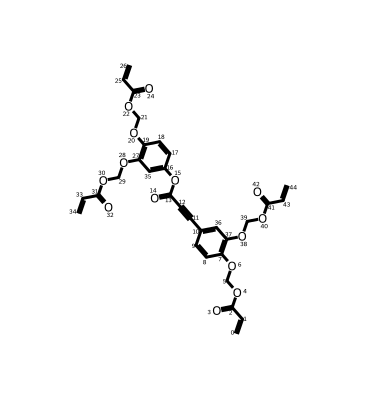 C=CC(=O)OCOc1ccc(C#CC(=O)Oc2ccc(OCOC(=O)C=C)c(OCOC(=O)C=C)c2)cc1OCOC(=O)C=C